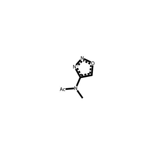 [CH2]C(=O)N(C)c1conn1